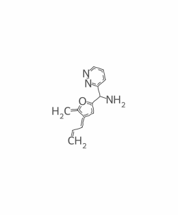 C=C/C=c1/cc(C(N)c2cccnn2)oc1=C